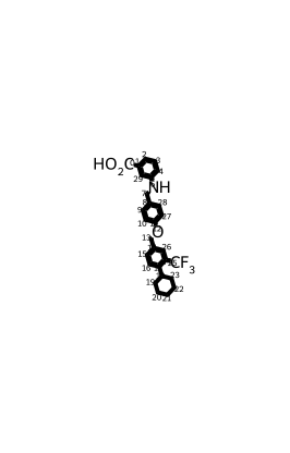 O=C(O)c1cccc(NCc2ccc(OCc3ccc(C4CCCCC4)c(C(F)(F)F)c3)cc2)c1